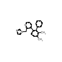 Cc1ccc(-c2cccnc2Cn2ccnc2)c(-c2ccccc2)c1C